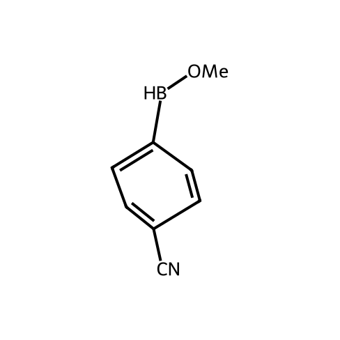 COBc1ccc(C#N)cc1